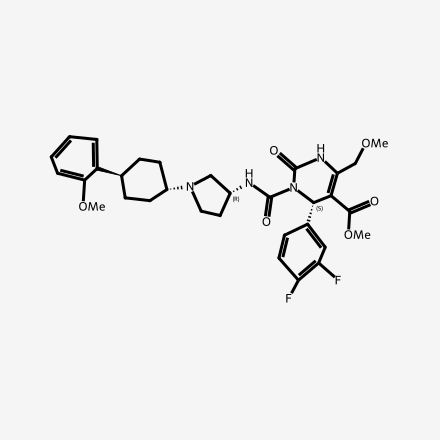 COCC1=C(C(=O)OC)[C@H](c2ccc(F)c(F)c2)N(C(=O)N[C@@H]2CCN([C@H]3CC[C@H](c4ccccc4OC)CC3)C2)C(=O)N1